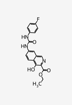 CCOC(=O)c1ncc2cc(NC(=O)Nc3ccc(F)cc3)ccc2c1O